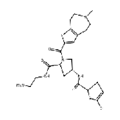 COCCNC(=O)[C@@H]1C[C@@H](NC(=O)C2CC=C(Cl)S2)CN1C(=O)c1cc2c(s1)CCN(C)CC2